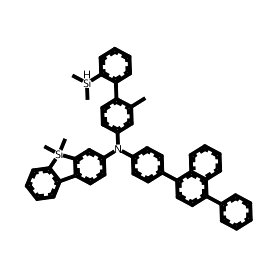 Cc1cc(N(c2ccc(-c3ccc(-c4ccccc4)c4ccccc34)cc2)c2ccc3c(c2)[Si](C)(C)c2ccccc2-3)ccc1-c1ccccc1[SiH](C)C